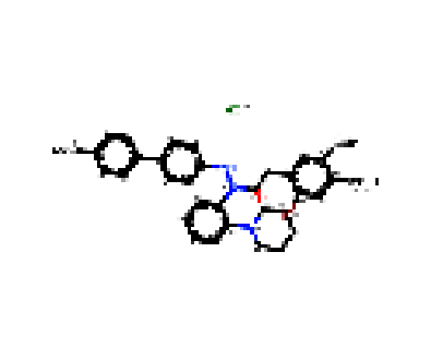 COc1ccc(-c2ccc(NN(C(=O)Cc3cc(OC)c(C(=O)O)cc3Br)c3ccccc3N3CCCCC3)cc2)cc1.Cl